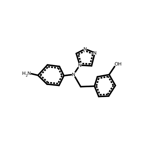 Nc1ccc(N(Cc2cccc(O)c2)n2cnnc2)cc1